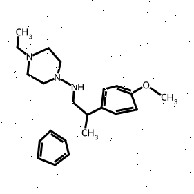 CCN1CCN(NCC(C)c2ccc(OC)cc2)CC1.c1ccccc1